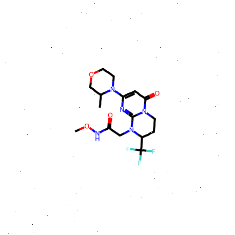 CONC(=O)CN1c2nc(N3CCOCC3C)cc(=O)n2CCC1C(F)(F)F